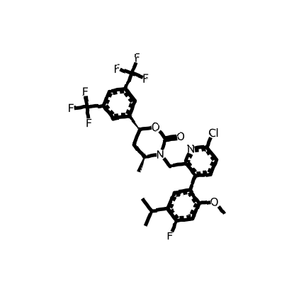 COc1cc(F)c(C(C)C)cc1-c1ccc(Cl)nc1CN1C(=O)O[C@H](c2cc(C(F)(F)F)cc(C(F)(F)F)c2)C[C@@H]1C